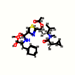 COC(=O)[C@H](Cc1ccccc1)NC(=O)c1csc([C@@H](C[C@H](C(C)C)N(C)C(=O)[C@@H](C)C2CC2)OC(C)=O)n1